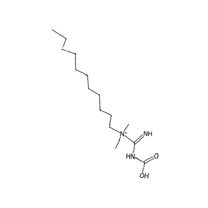 CCCCCCCCCCC[N+](C)(C)C(=N)NC(=O)O